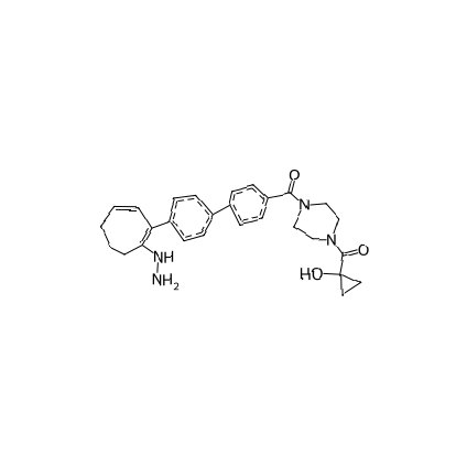 NNC1=C(c2ccc(-c3ccc(C(=O)N4CCN(C(=O)C5(O)CC5)CC4)cc3)cc2)C=CCCC1